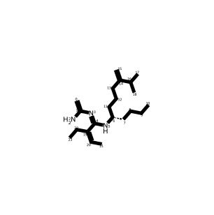 C=C(N)/N=C(N[C@@H](CCCC)CCCC(=C)C(C)C)\C(=C/C)CC